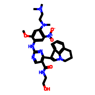 COc1cc(N(C)CCN(C)C)c([N+](=O)[O-])cc1Nc1ncc(C(=O)NCCO)c(-c2cn3c4c(cccc24)CCC3)n1